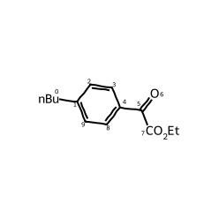 CCCCc1ccc(C(=O)C(=O)OCC)cc1